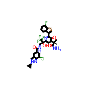 C[C@]1(C(N)=O)COc2c1cc(C(O)(CNC(=O)c1cc(Cl)c3nn(C4CC4)cc3c1)C(F)(F)F)nc2-c1csc2c(F)cccc12